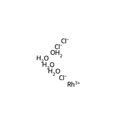 O.O.O.O.[Cl-].[Cl-].[Cl-].[Rh+3]